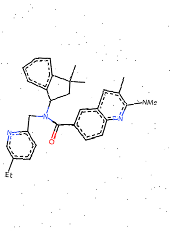 CCc1ccc(CN(C(=O)c2ccc3nc(NC)c(C)cc3c2)C2CC(C)(C)c3ccccc32)nc1